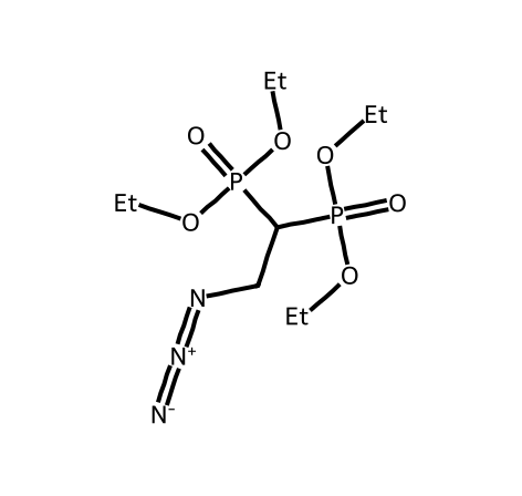 CCOP(=O)(OCC)C(CN=[N+]=[N-])P(=O)(OCC)OCC